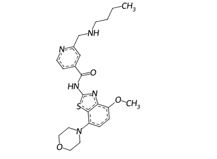 CCCCNCc1cc(C(=O)Nc2nc3c(OC)ccc(N4CCOCC4)c3s2)ccn1